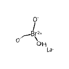 [La].[O-][Br+2]([O-])O